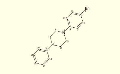 Brc1ccc(N2CCC(c3ccccc3)CC2)nc1